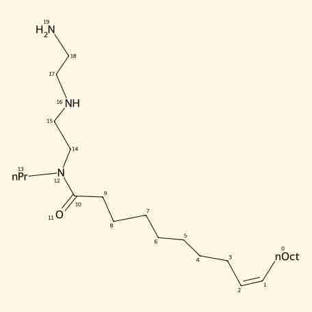 CCCCCCCC/C=C\CCCCCCCC(=O)N(CCC)CCNCCN